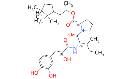 CCC(C)[C@H](NC(=O)[C@H](O)Cc1ccc(O)c(O)c1)C(=O)N1CCC[C@H]1C(=O)OC(C)CC1CCC(C)(C)C1(C)C